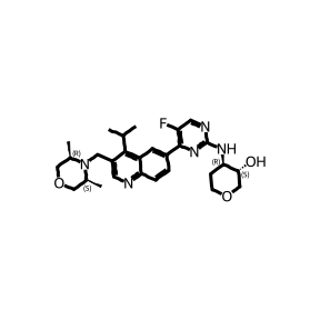 CC(C)c1c(CN2[C@H](C)COC[C@@H]2C)cnc2ccc(-c3nc(N[C@@H]4CCOC[C@H]4O)ncc3F)cc12